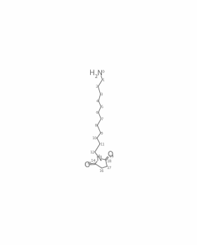 NCCCCCCCCCCCCN1C(=O)CCC1=O